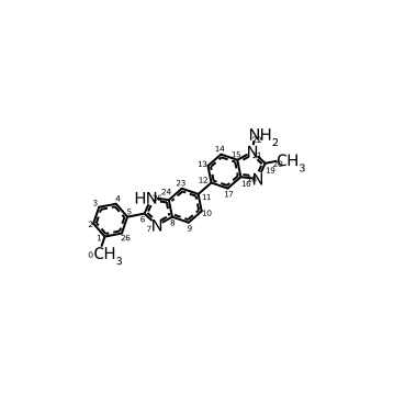 Cc1cccc(-c2nc3ccc(-c4ccc5c(c4)nc(C)n5N)cc3[nH]2)c1